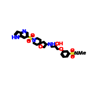 CNS(=O)(=O)c1cccc(OCC(O)CNC2COC3(CCN(S(=O)(=O)c4cnc5cc[nH]c5c4)CC3)C2)c1